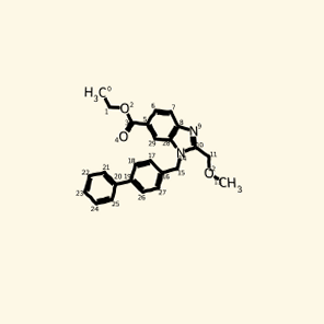 CCOC(=O)c1ccc2nc(COC)n(Cc3ccc(-c4ccccc4)cc3)c2c1